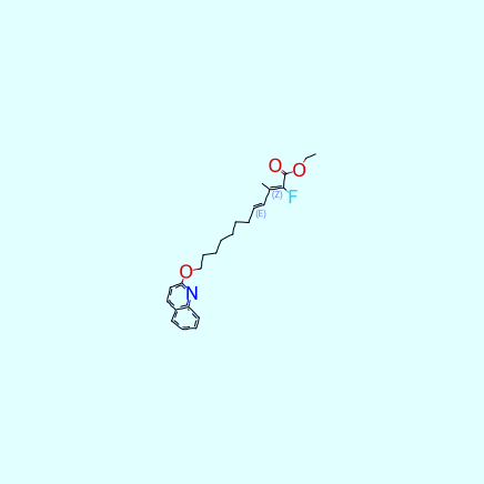 CCOC(=O)/C(F)=C(C)/C=C/CCCCCCCOc1ccc2ccccc2n1